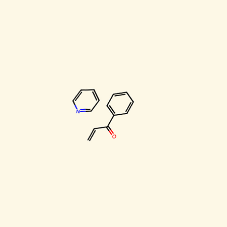 C=CC(=O)c1ccccc1.c1ccncc1